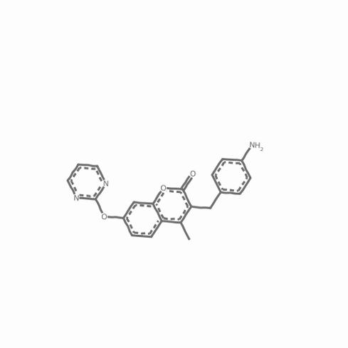 Cc1c(Cc2ccc(N)cc2)c(=O)oc2cc(Oc3ncccn3)ccc12